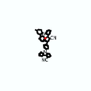 CC1C=Cc2c(c3ccccc3n2-c2ccccc2C2CC=C(c3ccc(-n4c5ccccc5c5c(C#N)cccc54)cc3)C=C2C#N)C1